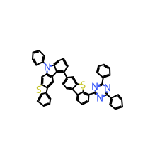 c1ccc(-c2nc(-c3ccccc3)nc(-c3cccc4c3sc3cc(-c5cccc6c5c5cc7c(cc5n6-c5ccccc5)sc5ccccc57)ccc34)n2)cc1